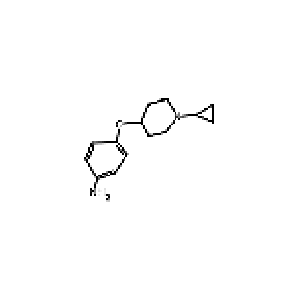 Nc1ccc(OC2CCN(C3CC3)CC2)cc1